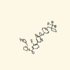 O=C(c1ccc(-c2cnc(OCC3CCN(CC4(C(F)(F)F)CCC4)CC3)nc2)c(F)c1)N1CCC[C@@H]1CO